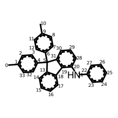 Cc1ccc(C2(c3ccc(C)cc3)c3ccccc3-c3c(Nc4ccccc4)cccc32)cc1